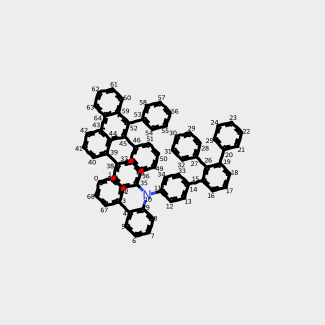 c1ccc(-c2ccccc2N(c2ccc(-c3cccc(-c4ccccc4)c3-c3ccccc3)cc2)c2ccc(-c3cccc4c3c(-c3ccccc3)c(-c3ccccc3)c3ccccc34)cc2)cc1